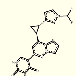 O=c1[nH]cc(-c2cc([C@H]3C[C@@H]3c3ccn(C(F)F)n3)c3nccn3n2)c(=O)[nH]1